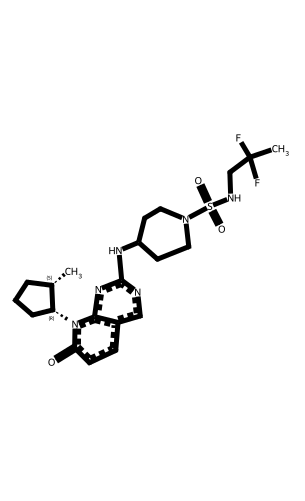 C[C@H]1CCC[C@H]1n1c(=O)ccc2cnc(NC3CCN(S(=O)(=O)NCC(C)(F)F)CC3)nc21